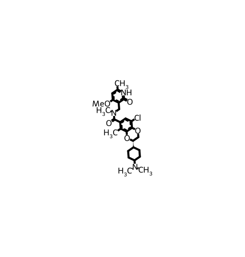 COc1cc(C)[nH]c(=O)c1CN(C)C(=O)c1cc(Cl)c2c(c1C)O[C@@H](C1CCC(N(C)C)CC1)CO2